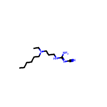 CCCCCCN(CC)CCCN/C(N)=N/C#N